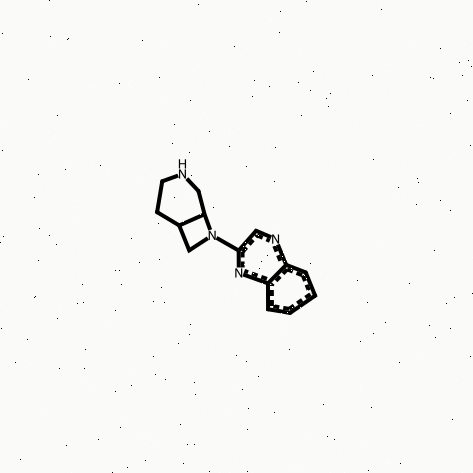 c1ccc2nc(N3CC4CCNCC43)cnc2c1